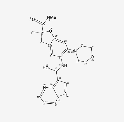 CNC(=O)[C@]1(C)Cc2cc(NC(O)c3cnn4cccnc34)c(N3CCOCC3)cc2O1